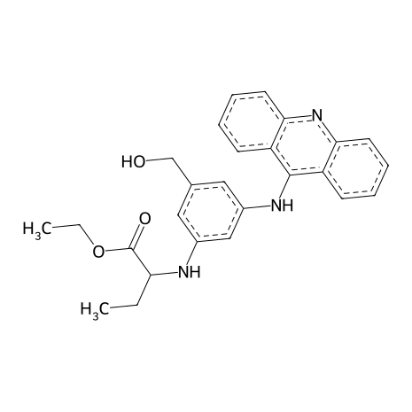 CCOC(=O)C(CC)Nc1cc(CO)cc(Nc2c3ccccc3nc3ccccc23)c1